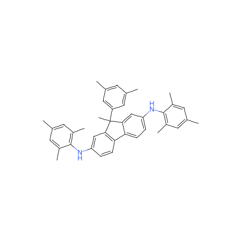 Cc1cc(C)cc(C2(C)c3cc(Nc4c(C)cc(C)cc4C)ccc3-c3ccc(Nc4c(C)cc(C)cc4C)cc32)c1